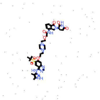 Cc1[nH]nc(Nc2ncnc3cc(OCCCN4CCN(CCOCC(=O)Nc5cccc6c5CN(C5CCC(=O)NC5=O)C6=O)CC4)c(S(=O)(=O)C(C)(C)C)cc23)c1C